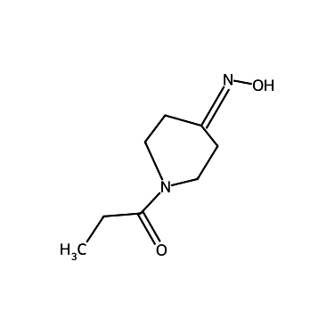 CCC(=O)N1CCC(=NO)CC1